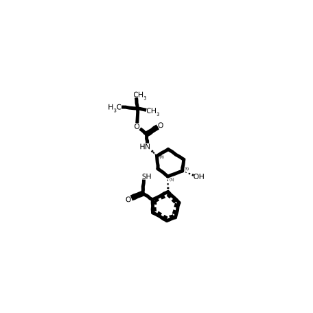 CC(C)(C)OC(=O)N[C@@H]1CC[C@H](O)[C@H](c2ccccc2C(=O)S)C1